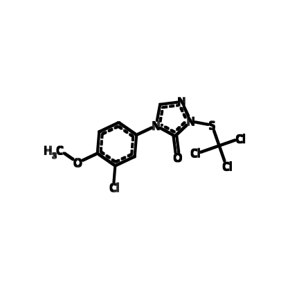 COc1ccc(-n2cnn(SC(Cl)(Cl)Cl)c2=O)cc1Cl